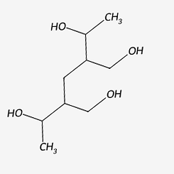 CC(O)C(CO)CC(CO)C(C)O